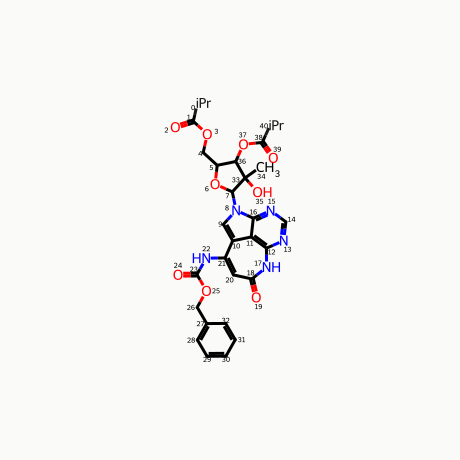 CC(C)C(=O)OCC1OC(n2cc3c4c(ncnc42)NC(=O)C=C3NC(=O)OCc2ccccc2)C(C)(O)C1OC(=O)C(C)C